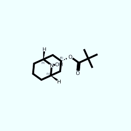 CC(C)(C)C(=O)O[C@H]1C[C@H]2CCC[C@@H](C1)N2O